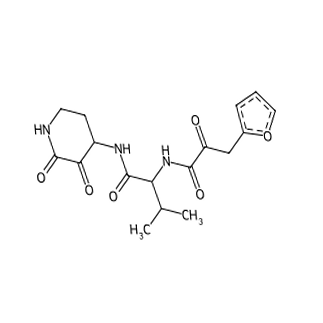 CC(C)C(NC(=O)C(=O)Cc1ccco1)C(=O)NC1CCNC(=O)C1=O